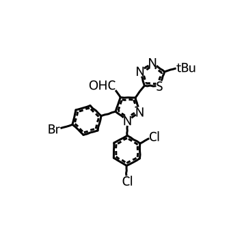 CC(C)(C)c1nnc(-c2nn(-c3ccc(Cl)cc3Cl)c(-c3ccc(Br)cc3)c2C=O)s1